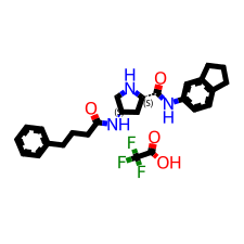 O=C(CCCc1ccccc1)N[C@@H]1CN[C@H](C(=O)Nc2ccc3c(c2)CCC3)C1.O=C(O)C(F)(F)F